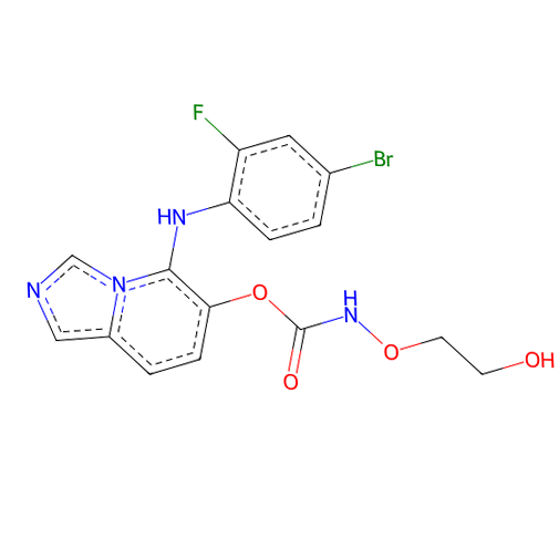 O=C(NOCCO)Oc1ccc2cncn2c1Nc1ccc(Br)cc1F